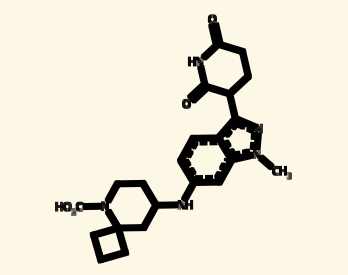 Cn1nc(C2CCC(=O)NC2=O)c2ccc(NC3CCN(C(=O)O)C4(CCC4)C3)cc21